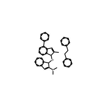 CC1=Cc2c(-c3ccccc3)cccc2[CH]1[Zr][CH]1C(P(C)C)=Cc2ccccc21.c1ccc(CCc2ccccc2)cc1